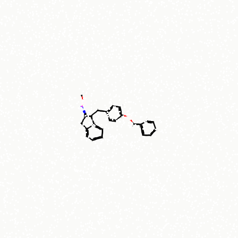 CO/N=C1/Cc2ccccc2C1Cc1ccc(OCc2ccccc2)cc1